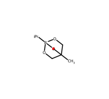 CC(C)[B-]12OCC(C)(CO1)CO2